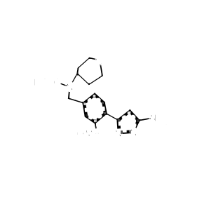 COc1cc(CN(C(=O)O)C2CCOCC2)ccc1-c1cc(N)n[nH]1